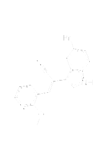 COc1ncccc1/C=C(\C#N)c1c[nH]c2ccc(Br)cc12